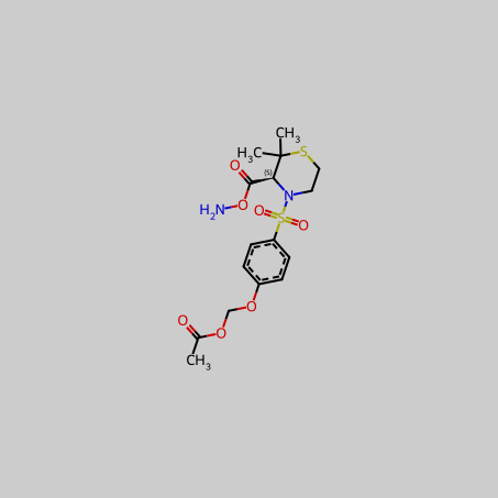 CC(=O)OCOc1ccc(S(=O)(=O)N2CCSC(C)(C)[C@@H]2C(=O)ON)cc1